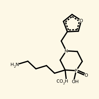 NCCCCC1(C(=O)O)CN(Cc2ccoc2)CCP1(=O)O